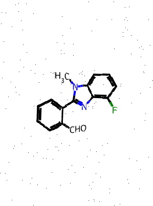 Cn1c(-c2ccccc2C=O)nc2c(F)cccc21